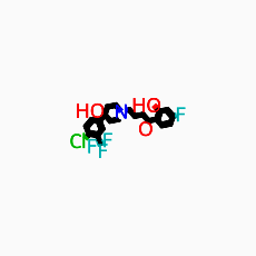 O=C(CCCN1CCC(O)(c2ccc(Cl)c(C(F)(F)F)c2)CC1)c1ccc(F)cc1O